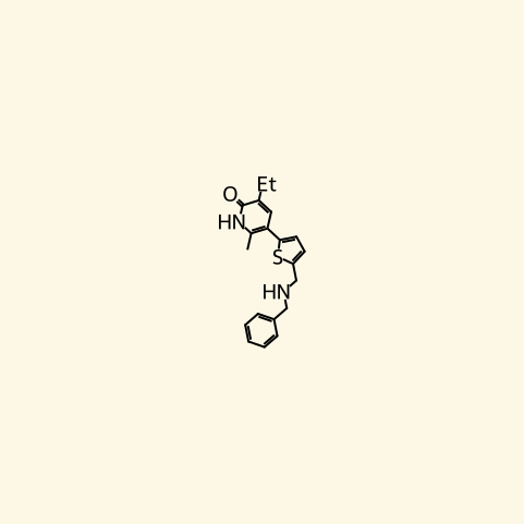 CCc1cc(-c2ccc(CNCc3ccccc3)s2)c(C)[nH]c1=O